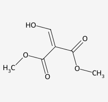 COC(=O)C(=CO)C(=O)OC